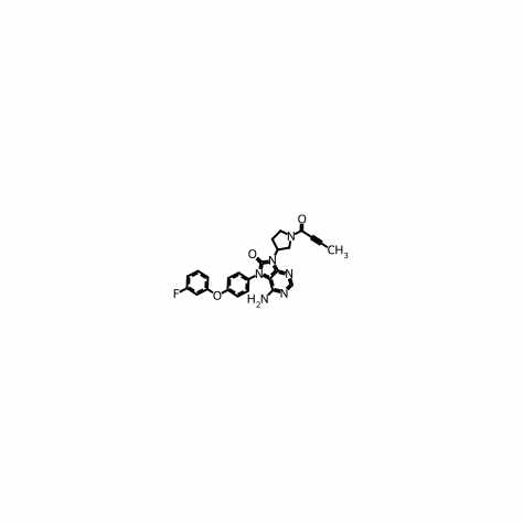 CC#CC(=O)N1CCC(n2c(=O)n(-c3ccc(Oc4cccc(F)c4)cc3)c3c(N)ncnc32)C1